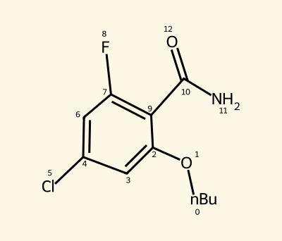 CCCCOc1cc(Cl)cc(F)c1C(N)=O